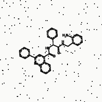 Nc1ccccc1CNC(=O)C(NC(=O)c1cc(-c2ccccc2)nc2ccccc12)c1ccccc1